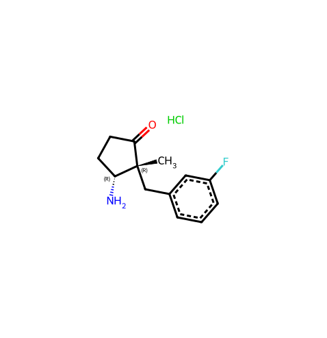 C[C@]1(Cc2cccc(F)c2)C(=O)CC[C@H]1N.Cl